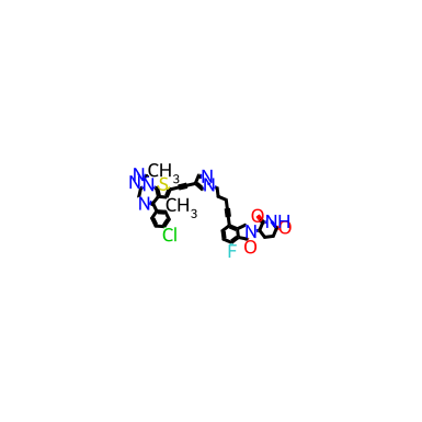 Cc1c(C#Cc2cnn(CCCC#Cc3ccc(F)c4c3CN(C3CCC(=O)NC3=O)C4=O)c2)sc2c1C(c1ccc(Cl)cc1)=NCc1nnc(C)n1-2